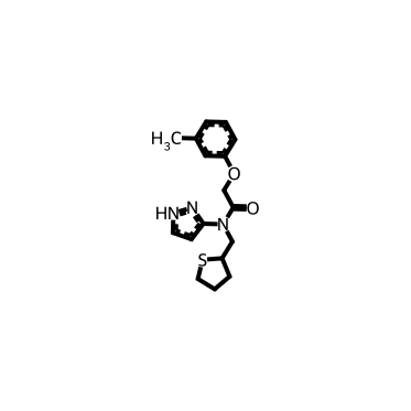 Cc1cccc(OCC(=O)N(CC2CCCS2)c2cc[nH]n2)c1